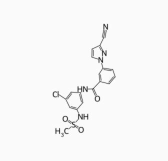 CS(=O)(=O)Nc1cc(Cl)cc(NC(=O)c2cccc(-n3ccc(C#N)n3)c2)c1